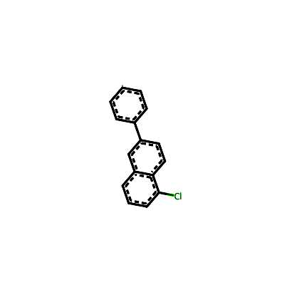 Clc1cccc2cc(-c3cc[c]cc3)ccc12